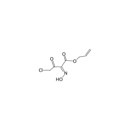 C=CCOC(=O)C(=NO)C(=O)CCl